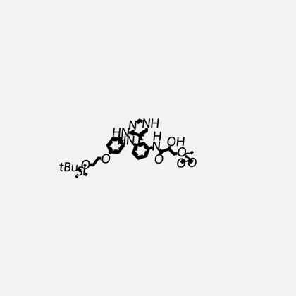 CC(C)(C)[Si](C)(C)OCCOc1ccc(NC2(Nc3cccc(NC(=O)C(O)COS(C)(=O)=O)c3)N=CNC=C2F)cc1